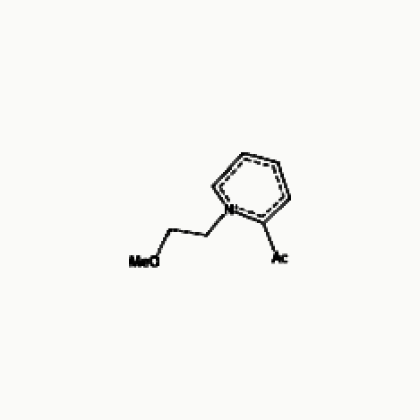 COCC[n+]1ccccc1C(C)=O